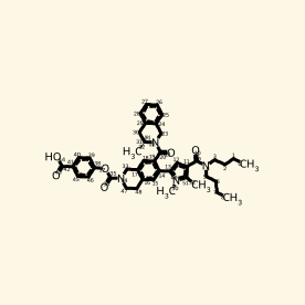 CCCCN(CCCC)C(=O)c1cc(-c2cc3c(cc2C(=O)N2Cc4ccccc4C[C@H]2C)CN(C(=O)Oc2ccc(C(=O)O)cc2)CC3)n(C)c1C